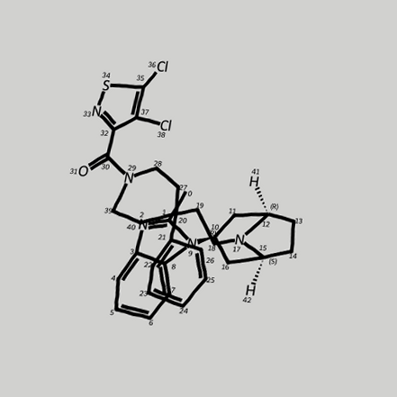 Cc1nc2ccccc2n1[C@H]1C[C@H]2CC[C@@H](C1)N2CCC1(c2ccccc2)CCN(C(=O)c2nsc(Cl)c2Cl)CC1